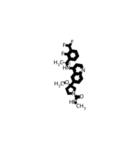 CNC(=O)N1CC[C@](OC)(c2ccc3nccc(N[C@H](C)c4cccc(C(F)F)c4F)c3c2)C1